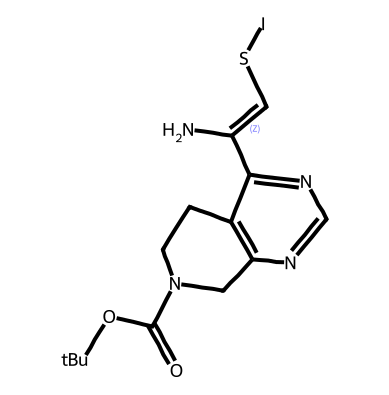 CC(C)(C)OC(=O)N1CCc2c(ncnc2/C(N)=C/SI)C1